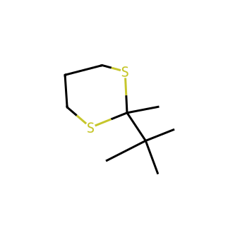 CC(C)(C)C1(C)SCCCS1